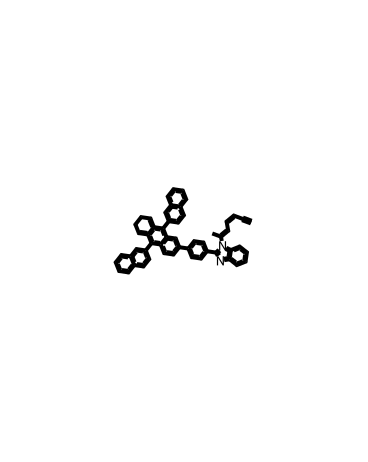 C#C/C=C\C=C(/C)n1c(-c2ccc(-c3ccc4c(-c5ccc6ccccc6c5)c5c(c(-c6ccc7ccccc7c6)c4c3)=CCCC=5)cc2)nc2ccccc21